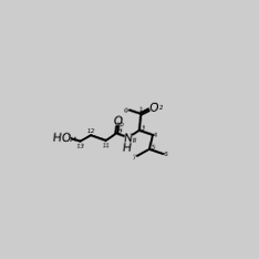 CC(=O)C(CC(C)C)NC(=O)CCCO